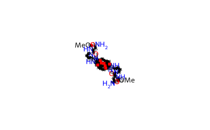 COC(=O)N[C@@H](CCN)C(=O)N1CCC[C@H]1c1nc2cc(-c3cc4ccc3CCc3ccc(c(-c5ccc6[nH]c([C@@H]7CCCN7C(=O)[C@H](CCN)NC(=O)OC)nc6c5)c3)CC4)ccc2[nH]1